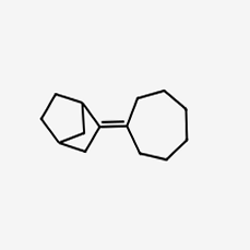 C1CCCC(=C2CC3CCC2C3)CC1